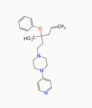 C=CCC(CCN1CCN(c2ccncc2)CC1)(Oc1ccccc1)C(=O)O